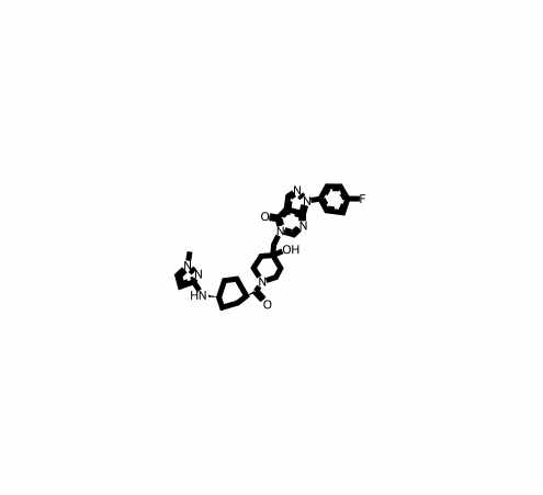 Cn1ccc(N[C@H]2CC[C@@H](C(=O)N3CCC(O)(Cn4cnc5c(cnn5-c5ccc(F)cc5)c4=O)CC3)CC2)n1